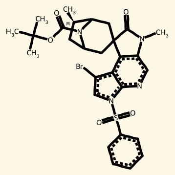 C[C@@H]1CC2CC3(CC1N2C(=O)OC(C)(C)C)C(=O)N(C)c1cnc2c(c(Br)cn2S(=O)(=O)c2ccccc2)c13